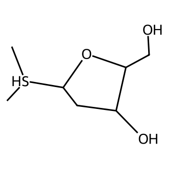 C[SH](C)C1CC(O)C(CO)O1